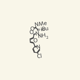 CC[C@@H](C)[C@@H](C(=O)NC)N(N)C(=O)c1ccc(-c2ccc(Cl)cn2)o1